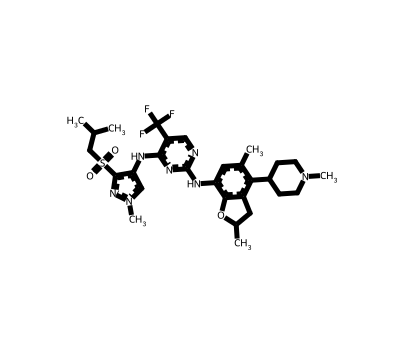 Cc1cc(Nc2ncc(C(F)(F)F)c(Nc3cn(C)nc3S(=O)(=O)CC(C)C)n2)c2c(c1C1CCN(C)CC1)CC(C)O2